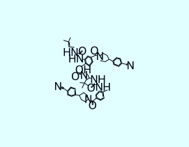 CC(C)=CCNC(=O)Nc1cc(C(=O)N2CCC(c3ccc(C#N)cc3)CC2)ccc1C.Cc1ccc(C(=O)N2CCC(c3ccc(C#N)cc3)CC2)cc1NC(=O)NC1CN(C(=O)O)C1C(C)(C)C